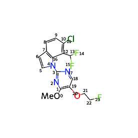 COc1nc(-n2ccc3ccc(Cl)c(C(F)F)c32)ncc1OCCF